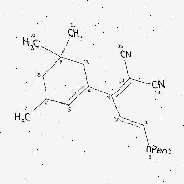 CCCCCC=CC(C1=CC(C)CC(C)(C)C1)=C(C#N)C#N